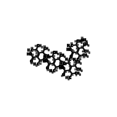 CC(C)C(C(=O)O)=C(C(C)C)C(C)C.CC(C)C(C(=O)O)=C(C(C)C)C(C)C.CC(C)C(C(=O)O)=C(C(C)C)C(C)C.CC(C)C(C(=O)O)=C(C(C)C)C(C)C.[SiH4]